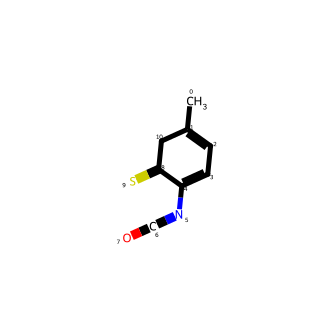 CC1=CC=C(N=C=O)C(=S)C1